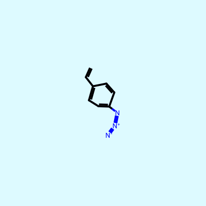 C=Cc1ccc(N=[N+]=[N-])cc1